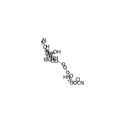 Cc1ncsc1-c1ccc([C@H](C)NC(=O)[C@@H]2C[C@@H](O)CN2C(=O)[C@@H](NC(=O)COCCCCOc2ccc(-c3ccc(C(=O)NC4C(C)(C)C(Oc5ccc(C#N)c(Cl)c5)C4(C)C)cc3)cc2)C(C)(C)C)cc1